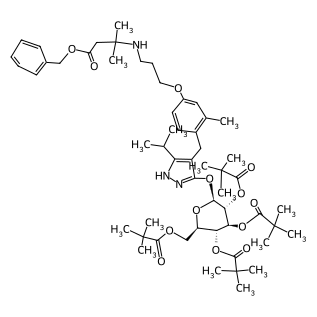 Cc1cc(OCCCNC(C)(C)CC(=O)OCc2ccccc2)ccc1Cc1c(O[C@@H]2O[C@H](COC(=O)C(C)(C)C)[C@@H](OC(=O)C(C)(C)C)[C@H](OC(=O)C(C)(C)C)[C@H]2OC(=O)C(C)(C)C)n[nH]c1C(C)C